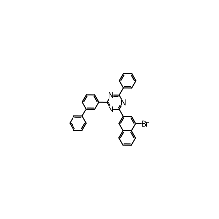 Brc1cc(-c2nc(-c3ccccc3)nc(-c3cccc(-c4ccccc4)c3)n2)cc2ccccc12